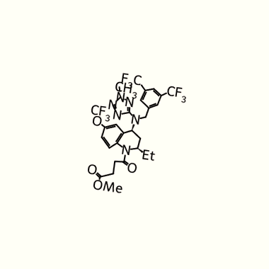 CC[C@@H]1C[C@H](N(Cc2cc(C(F)(F)F)cc(C(F)(F)F)c2)c2nnn(C)n2)c2cc(OC(F)(F)F)ccc2N1C(=O)CCC(=O)OC